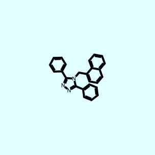 c1ccc(-c2nnc(-c3ccccc3)n2Cc2cccc3ccccc23)cc1